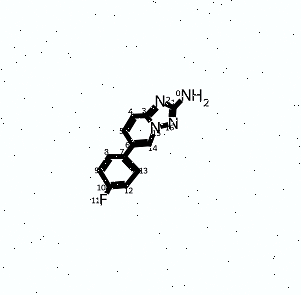 Nc1nc2ccc(-c3ccc(F)cc3)cn2n1